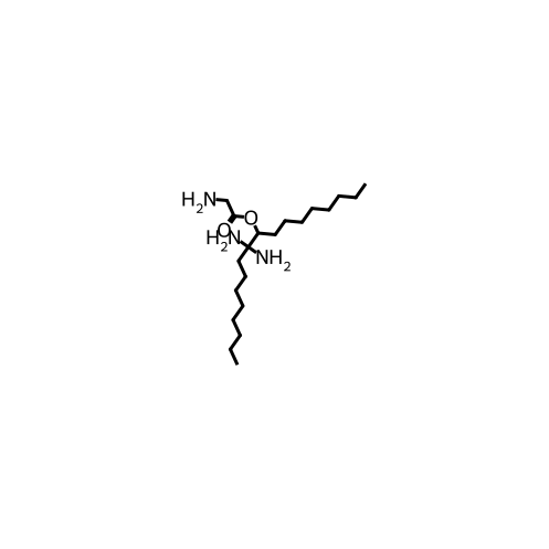 CCCCCCCCC(OC(=O)CN)C(N)(N)CCCCCCCC